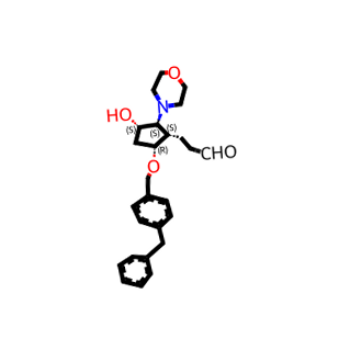 O=CCC[C@H]1[C@H](N2CCOCC2)[C@@H](O)C[C@H]1OCc1ccc(Cc2ccccc2)cc1